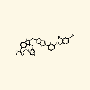 CCn1cncc1Cn1c(CN2CC3C=C(c4cccc(OCc5ccc(C#N)cc5F)n4)CC3C2)nc2ccc(C(=O)OC)cc21